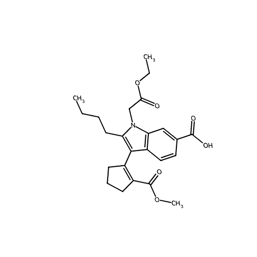 CCCCc1c(C2=C(C(=O)OC)CCC2)c2ccc(C(=O)O)cc2n1CC(=O)OCC